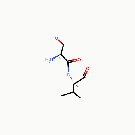 CC(C)[C@@H]([C]=O)NC(=O)[C@@H](N)CO